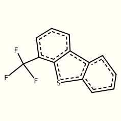 FC(F)(F)c1cccc2c1sc1ccccc12